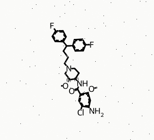 COc1cc(N)c(Cl)cc1C(=O)N[C@@H]1CCN(CCCC(c2ccc(F)cc2)c2ccc(F)cc2)C[C@H]1OC